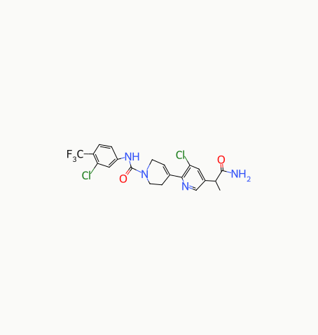 CC(C(N)=O)c1cnc(C2=CCN(C(=O)Nc3ccc(C(F)(F)F)c(Cl)c3)CC2)c(Cl)c1